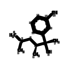 C[C@H](CN(C)C)[C@@](C)(O)c1cccc(O)c1